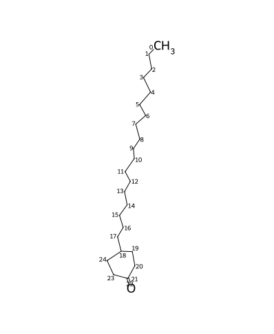 CCCCCCCCCCCCCCCCCCC1CCC(=O)CC1